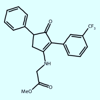 COC(=O)CNC1=C(c2cccc(C(F)(F)F)c2)C(=O)C(c2ccccc2)C1